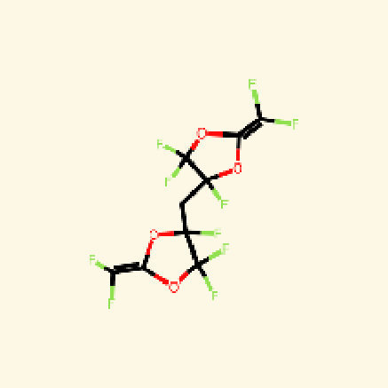 FC(F)=C1OC(F)(F)C(F)(CC2(F)OC(=C(F)F)OC2(F)F)O1